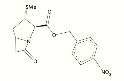 CS[C@H]1CC2CC(=O)N2[C@@H]1C(=O)OCc1ccc([N+](=O)[O-])cc1